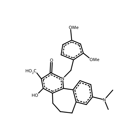 COc1ccc(Cn2c3c(c(O)c(C(=O)O)c2=O)CCCc2cc(N(C)C)ccc2-3)c(OC)c1